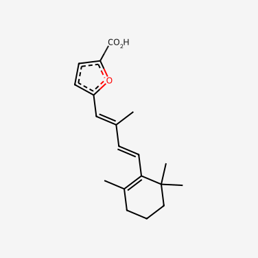 CC1=C(/C=C/C(C)=C/c2ccc(C(=O)O)o2)C(C)(C)CCC1